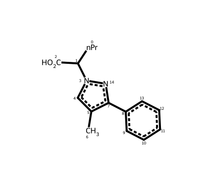 CCCC(C(=O)O)n1cc(C)c(-c2ccccc2)n1